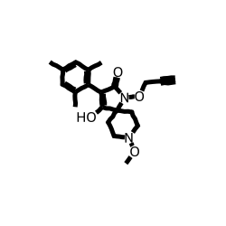 C#CCON1C(=O)C(c2c(C)cc(C)cc2C)=C(O)C12CCN(OC)CC2